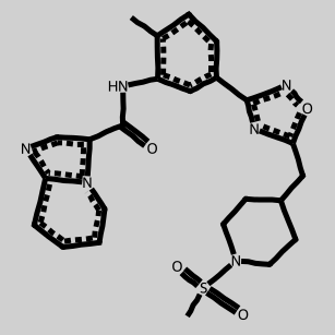 Cc1ccc(-c2noc(CC3CCN(S(C)(=O)=O)CC3)n2)cc1NC(=O)c1cnc2ccccn12